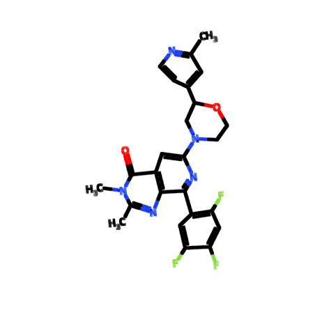 Cc1cc(C2CN(c3cc4c(=O)n(C)c(C)nc4c(-c4cc(F)c(F)cc4F)n3)CCO2)ccn1